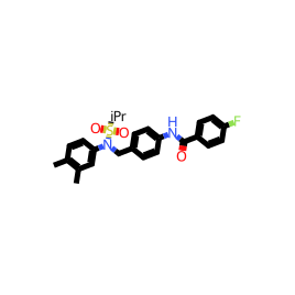 Cc1ccc(N(Cc2ccc(NC(=O)c3ccc(F)cc3)cc2)S(=O)(=O)C(C)C)cc1C